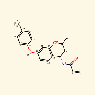 C=CC(=O)N[C@H]1CC(C)Oc2cc(Oc3ccc(C(F)(F)F)cc3)ccc21